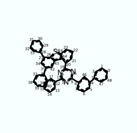 c1ccc(-c2cccc(-c3nc(-c4ccccc4)nc(-c4cccc5sc6c(-c7ccccc7)cc(-c7ccccc7)cc6c45)n3)c2)cc1